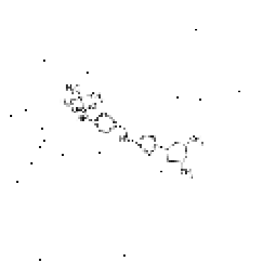 CC1CC(C)CC(c2ccc(NCc3ccc(NS(=O)(=O)C(C)(C)C)cc3)cc2)C1